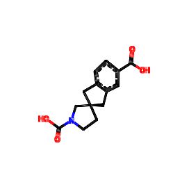 O=C(O)c1ccc2c(c1)C[C@]1(CCN(C(=O)O)C1)C2